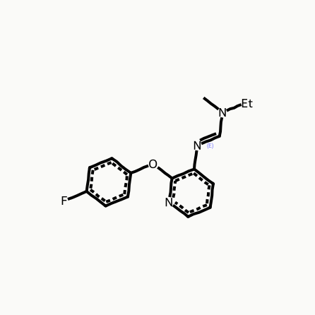 CCN(C)/C=N/c1cccnc1Oc1ccc(F)cc1